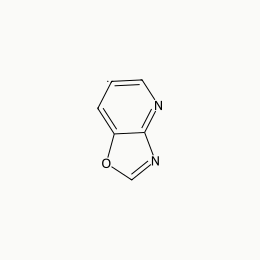 [c]1cnc2ncoc2c1